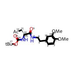 COc1ccc(CCNC(=O)[C@@H](CC(C)=O)NC(=O)OC(C)(C)C)cc1OC